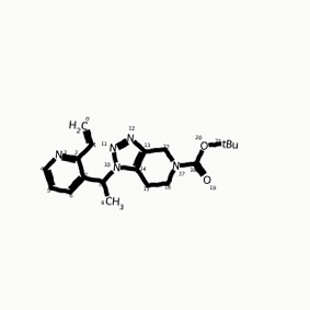 C=Cc1ncccc1C(C)n1nnc2c1CCN(C(=O)OC(C)(C)C)C2